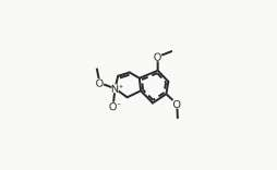 COc1cc2c(c(OC)c1)C=C[N+]([O-])(OC)C2